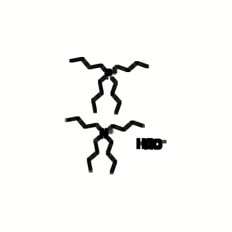 CCCC[N+](CCCC)(CCCC)CCCC.CCCC[P+](CCCC)(CCCC)CCCC.[OH-].[OH-]